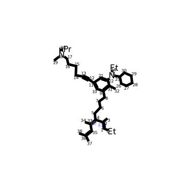 CC/C=C(C)/C(CCCCc1cc(C#CCCCCN(C)CCC)cc(N(CC)C2CCCCC2)c1C)=C(/C)C=C(C)C